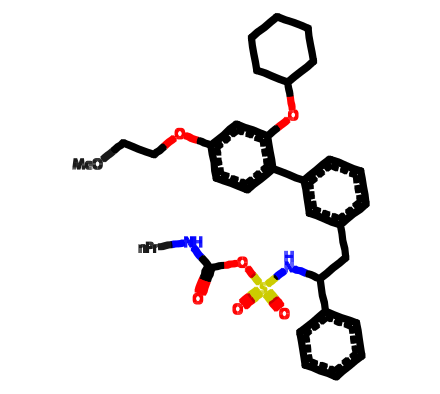 CCCNC(=O)OS(=O)(=O)NC(Cc1cccc(-c2ccc(OCCOC)cc2OC2CCCCC2)c1)c1ccccc1